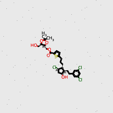 CC1(C)O[C@H](CO)[C@@H](COC(=O)c2ccc(CCC[C@@H]3[C@@H](CCc4cc(Cl)cc(Cl)c4)[C@H](O)C[C@H]3Cl)s2)O1